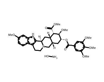 COC(=O)[C@H]1[C@H]2C[C@@H]3c4[nH]c5cc(OC)ccc5c4CCN3C[C@H]2C[C@@H](OC(=O)c2cc(OC)c(OC)c(OC)c2)[C@@H]1OC.NO